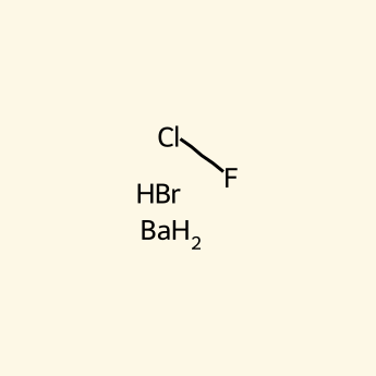 Br.FCl.[BaH2]